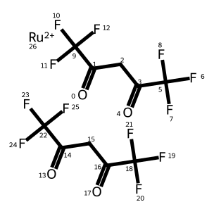 O=C(CC(=O)C(F)(F)F)C(F)(F)F.O=C(CC(=O)C(F)(F)F)C(F)(F)F.[Ru+2]